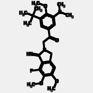 COc1cc2c(c(F)c1OC)C(=N)N(CC(=O)c1cc(N(C)C)c(OC)c(C(C)(C)C)c1)C2